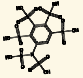 O=S(=O)(O)c1cc(N(S(=O)(=O)O)S(=O)(=O)O)c(S(=O)(=O)O)c(S(=O)(=O)O)c1S(=O)(=O)O